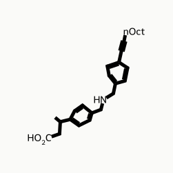 CCCCCCCCC#Cc1ccc(CNCc2ccc(C(C)CC(=O)O)cc2)cc1